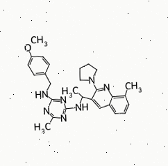 COc1ccc(CNc2nc(C)nc(NC(C)c3cc4cccc(C)c4nc3N3CCCC3)n2)cc1